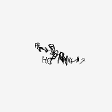 Nc1ncnn2c([C@H]3C[C@H](O)[C@@H](CN4CCOC[C@H]4CN4CCC(F)(F)C4)O3)ccc12